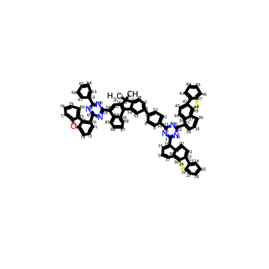 CC1(C)c2ccc(-c3ccc(-c4nc(-c5cccc6c5ccc5c7ccccc7sc65)nc(-c5cccc6c5ccc5c7ccccc7sc65)n4)cc3)cc2-c2c1cc(-c1nc(-c3ccccc3)nc(-c3cccc4oc5ccccc5c34)n1)c1ccccc21